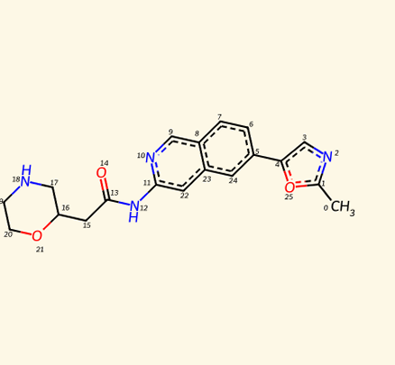 Cc1ncc(-c2ccc3cnc(NC(=O)CC4CNCCO4)cc3c2)o1